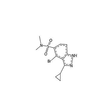 CN(C)S(=O)(=O)c1ccc2[nH]nc(C3CC3)c2c1Br